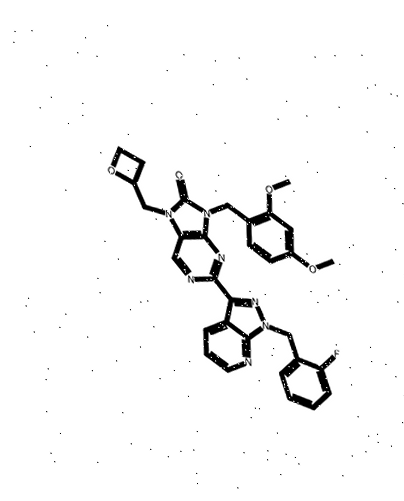 COc1ccc(Cn2c(=O)n(CC3CCO3)c3cnc(-c4nn(Cc5ccccc5F)c5ncccc45)nc32)c(OC)c1